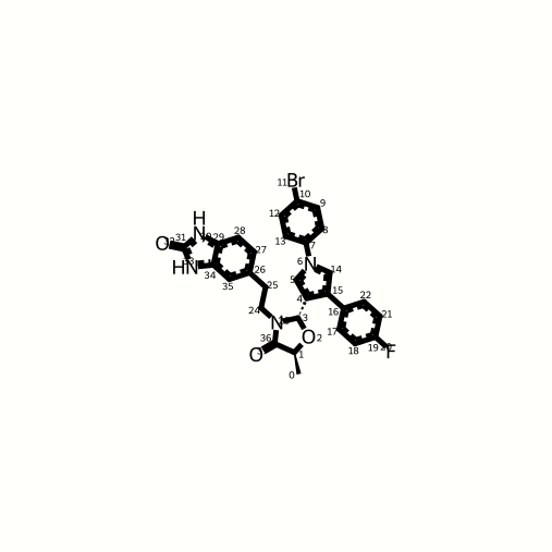 C[C@@H]1O[C@@H](c2cn(-c3ccc(Br)cc3)cc2-c2ccc(F)cc2)N(CCc2ccc3[nH]c(=O)[nH]c3c2)C1=O